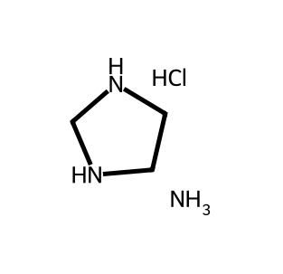 C1CNCN1.Cl.N